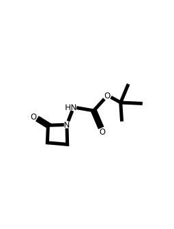 CC(C)(C)OC(=O)NN1CCC1=O